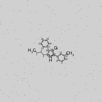 CCCCc1[nH]n(-c2cccc(C)c2)c(=O)c1-c1ccccc1